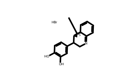 Br.CC1CC2C(c3ccc(O)c(O)c3)CN=C3C=CC=CC32S1